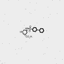 O=C(O)[C@@H]1CNC[C@H](NS(=O)(=O)c2ccc(-c3ccccc3)cc2)C1